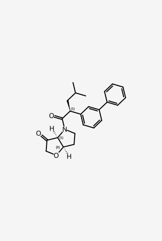 CC(C)C[C@H](C(=O)N1CC[C@H]2OCC(=O)[C@H]21)c1cccc(-c2ccccc2)c1